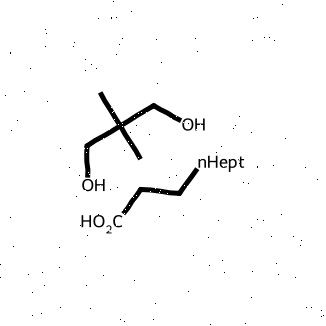 CC(C)(CO)CO.CCCCCCCCCC(=O)O